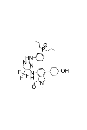 CCCP(=O)(CCC)c1cccc(Nc2ncc(C(F)(F)F)c(Nc3ccc(C4CCC(O)CC4)c4c3C(C=O)N(C)C4)n2)c1